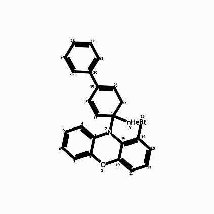 CCCCCCCC1(N2c3ccccc3Oc3cccc(Br)c32)C=CC(c2ccccc2)=CC1